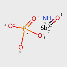 N.O=P([O-])([O-])[O-].[O]=[Sb+3]